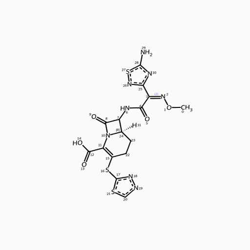 CO/N=C(\C(=O)NC1C(=O)N2C(C(=O)O)=C(Sc3nncs3)CC[C@H]12)c1nsc(N)n1